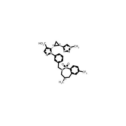 C[C@@H]1Cc2cc(C(F)(F)F)ccc2S(=O)(=O)N(Cc2cccc(-n3ncc(C(=O)O)c3[C@@H]3C[C@H]3c3cn(C)nn3)c2)C1